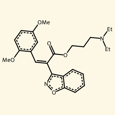 CCN(CC)CCCOC(=O)C(=Cc1cc(OC)ccc1OC)c1noc2ccccc12